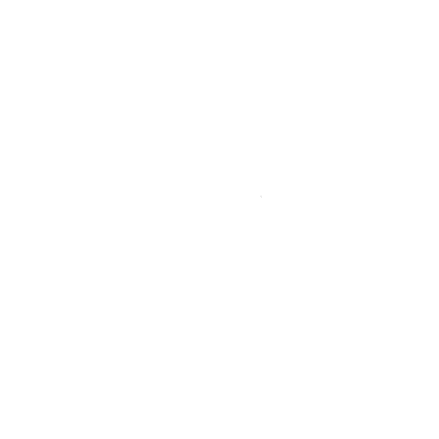 CC(C)[Si](OCC(O)C1CCOCC1)(C(C)C)C(C)C